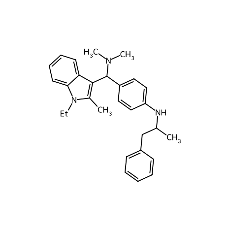 CCn1c(C)c(C(c2ccc(NC(C)Cc3ccccc3)cc2)N(C)C)c2ccccc21